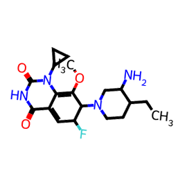 CCC1CCN(C2C(OC)=c3c(c(=O)[nH]c(=O)n3C3CC3)=CC2F)CC1N